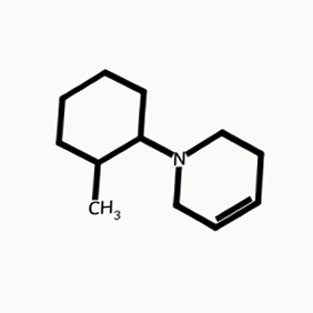 CC1CCCCC1N1CC=CCC1